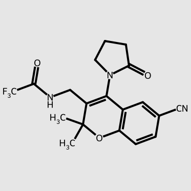 CC1(C)Oc2ccc(C#N)cc2C(N2CCCC2=O)=C1CNC(=O)C(F)(F)F